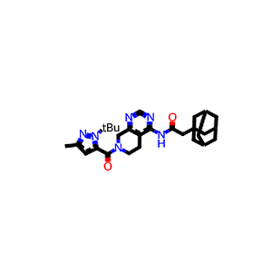 Cc1cc(C(=O)N2CCc3c(ncnc3NC(=O)CC34CC5CC(CC(C5)C3)C4)C2)n(C(C)(C)C)n1